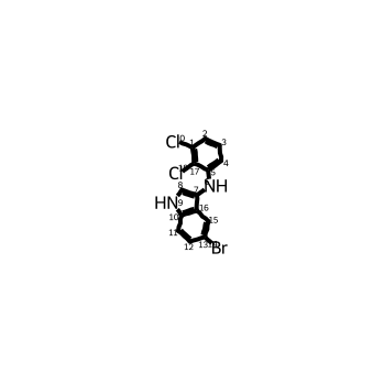 Clc1cccc(Nc2c[nH]c3ccc(Br)cc23)c1Cl